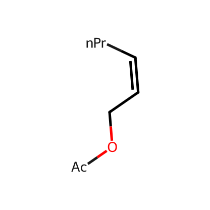 CCC/C=C\COC(C)=O